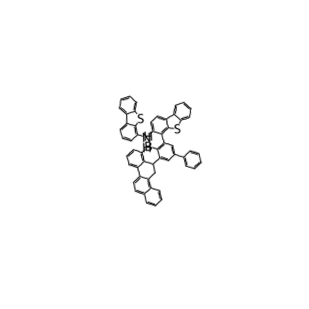 B1c2cccc3c2C(Cc2c-3ccc3ccccc23)c2cc(-c3ccccc3)cc(-c3c(Nc4cccc5c4sc4ccccc45)ccc4c3sc3ccccc34)c21